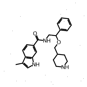 Cc1c[nH]c2cc(C(=O)NCC(OCC3CCNCC3)c3ccccc3)ccc12